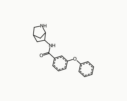 O=C(NC1CC2CNC1C2)c1cccc(Oc2ccccc2)c1